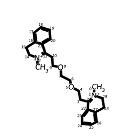 C[N+]1=C(CCOCCOCCC2=[N+](C)CCc3ccccc32)c2ccccc2CC1